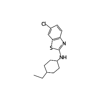 CCC1CCC(Nc2nc3ccc(Cl)cc3s2)CC1